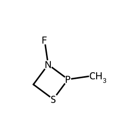 CP1SCN1F